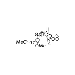 COCCCOc1cc(C(=O)N(C[C@@H]2CNC[C@H]2CN(C(=O)OC2CCCO2)C2CC2)C(C)C)ccc1OC